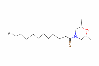 CC(=O)CCCCCCCCCCC(=S)N1CC(C)OC(C)C1